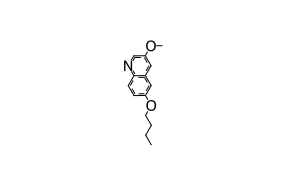 CCCCOc1ccc2ncc(OC)cc2c1